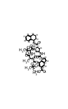 C[C@@H](C(=O)NC(C(=O)N1C[C@@H](NC(=O)n2ccc3cc(C(=O)O)ccc32)C[C@H]1C(=O)N[C@@H]1CCCc2ccccc21)C(C)(C)C)N(C)C(=O)OC(C)(C)C